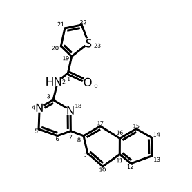 O=C(Nc1nccc(-c2ccc3ccccc3c2)n1)c1cccs1